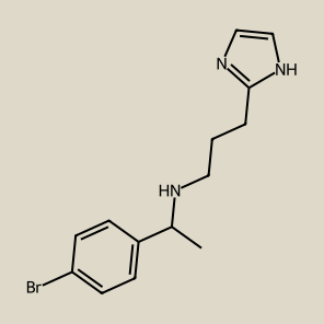 CC(NCCCc1ncc[nH]1)c1ccc(Br)cc1